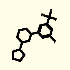 Fc1cc(C2CCCC(N3CCCC3)C2)cc(C(F)(F)F)c1